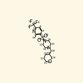 Cc1nc(C(F)(F)F)ccc1S(=O)(=O)N1CCN(CC2CCCOC2)CC1